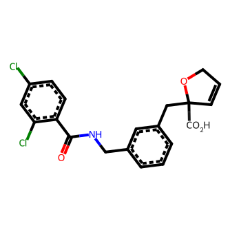 O=C(NCc1cccc(CC2(C(=O)O)C=CCO2)c1)c1ccc(Cl)cc1Cl